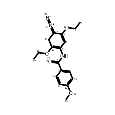 CCOC1=CC(NC(=O)c2ccc(OC)cc2)=C(OCC)CC1=[N+]=[N-]